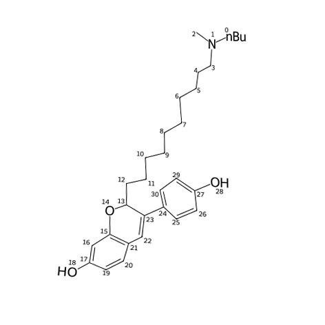 CCCCN(C)CCCCCCCCCCC1Oc2cc(O)ccc2C=C1c1ccc(O)cc1